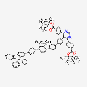 CC1(C)c2cc(-c3ccc(-c4ccc5c(c4)C(c4ccccc4)(c4ccccc4)c4ccccc4-5)cc3)ccc2-c2ccc(-c3ccc(-c4c(-c5ccc(B6OC(C)(C)C(C)(C)O6)cc5)ncnc4-c4ccc(B5OC(C)(C)C(C)(C)O5)cc4)cc3)cc21